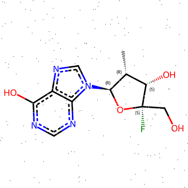 C[C@H]1[C@H](n2cnc3c(O)ncnc32)O[C@](F)(CO)[C@H]1O